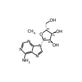 C.Nc1ncnc2c1ncn2[C@@H]1O[C@H](CO)[C@@H](O)[C@H]1O